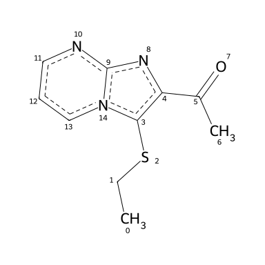 CCSc1c(C(C)=O)nc2ncccn12